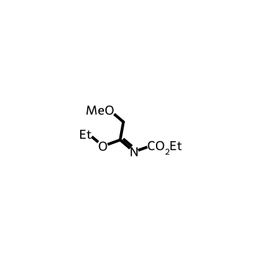 CCOC(=O)/N=C(\COC)OCC